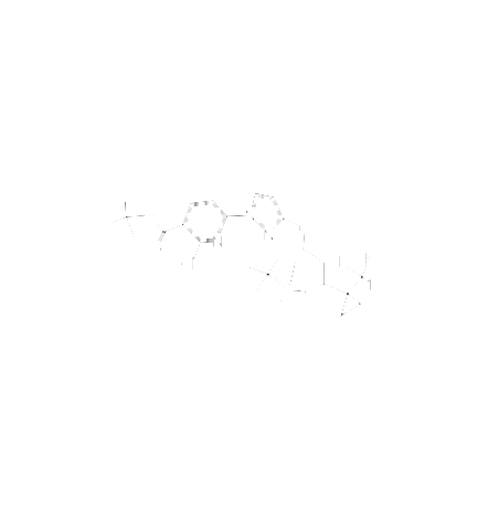 CC(C)(C)OC(=O)c1ccc(-n2ccc(OCCC(O[Si](C)(C)C(C)(C)C)C3(C(F)(F)F)CC3)n2)nc1Cl